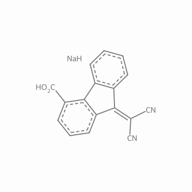 N#CC(C#N)=C1c2ccccc2-c2c(C(=O)O)cccc21.[NaH]